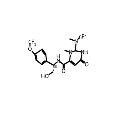 CCCN(C)C1NC(=O)C=C(C(=O)N[C@H](CO)c2ccc(OC(F)(F)F)cc2)N1C